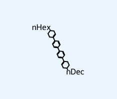 CCCCCCCCCCC1CC=C(c2ccc(-c3ccc(C4=CCC(CCCCCC)CC4)cc3)cc2)CC1